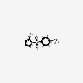 CCc1cccn1S(=O)(=O)c1ccc(C(F)(F)F)cc1